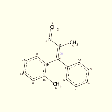 C=N/C(C)=C(/c1ccccc1)c1ccccc1C